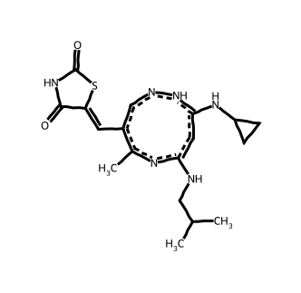 Cc1nc(NCC(C)C)cc(NC2CC2)[nH]ncc1/C=C1\SC(=O)NC1=O